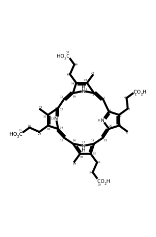 CC1=C(CCC(=O)O)c2cc3[nH]c(cc4nc(cc5[nH]c(cc1n2)c(CCC(=O)O)c5C)C(CCC(=O)O)=C4C)c(CCC(=O)O)c3C